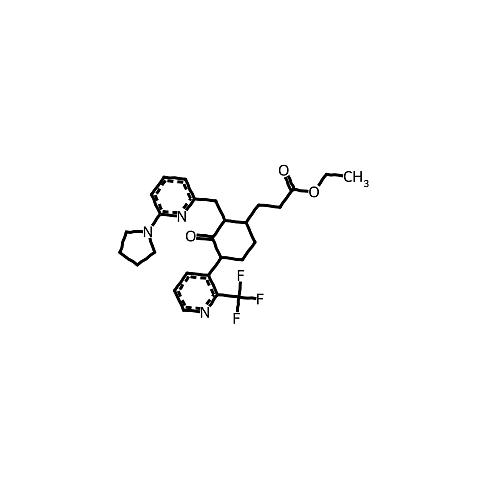 CCOC(=O)CCC1CCC(c2cccnc2C(F)(F)F)C(=O)C1Cc1cccc(N2CCCC2)n1